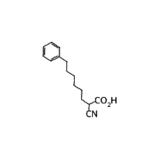 N#CC(CCCCCCc1ccccc1)C(=O)O